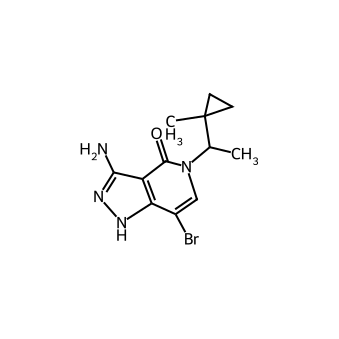 CC(n1cc(Br)c2[nH]nc(N)c2c1=O)C1(C)CC1